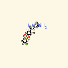 Cc1cc(S(=O)(=O)c2cccc(F)c2)ccc1C(C)CC(=N)CC(N)=O